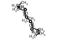 CCCC[Si](C)(C)O[Si](C)(C)CCCc1ccccc1OC(=O)Oc1ccc(C(C)(C)c2ccc(OC(=O)Oc3ccccc3CCC[Si](C)(C)O[Si](C)(C)CCCC)cc2)cc1